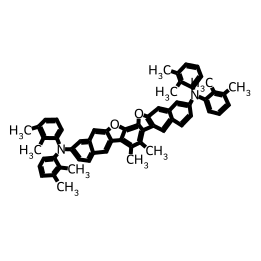 Cc1cccc(N(c2ccc3cc4c(cc3c2)oc2c3oc5cc6cc(N(c7cccc(C)c7C)c7cccc(C)c7C)ccc6cc5c3c(C)c(C)c42)c2cccc(C)c2C)c1C